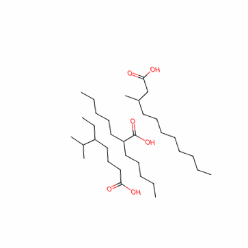 CCC(CCCC(=O)O)C(C)C.CCCCCC(CCCCC)C(=O)O.CCCCCCCCC(C)CC(=O)O